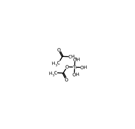 CC(=O)[O][Ti]([OH])([OH])[OH].CC(C)=O